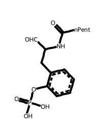 CCCCCC(=O)NC(C=O)Cc1ccccc1OP(=O)(O)O